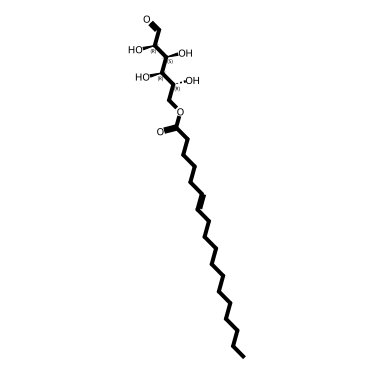 CCCCCCCCCCCC=CCCCCC(=O)OC[C@@H](O)[C@@H](O)[C@H](O)[C@@H](O)C=O